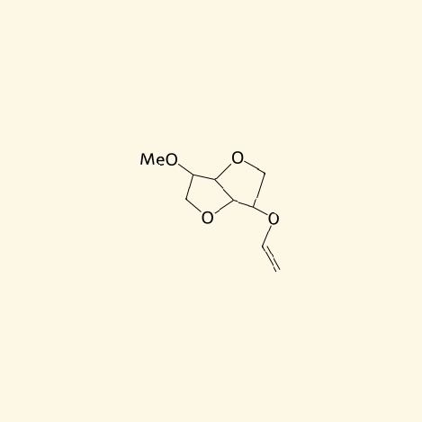 C=COC1COC2C(OC)COC12